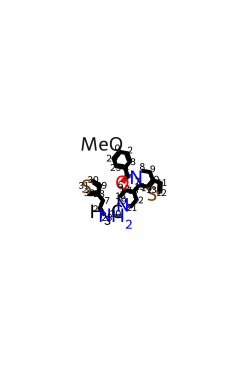 COc1ccc(C(=O)N2CCc3ccsc3C2C2CCN(C)CC2)cc1.NCCc1ccsc1